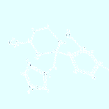 CC1CCOC(Cn2cncn2)(c2ccc(Cl)cc2Cl)O1